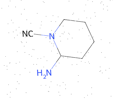 N#CN1CCCCC1N